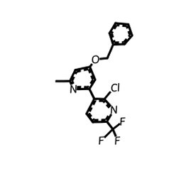 Cc1cc(OCc2ccccc2)cc(-c2ccc(C(F)(F)F)nc2Cl)n1